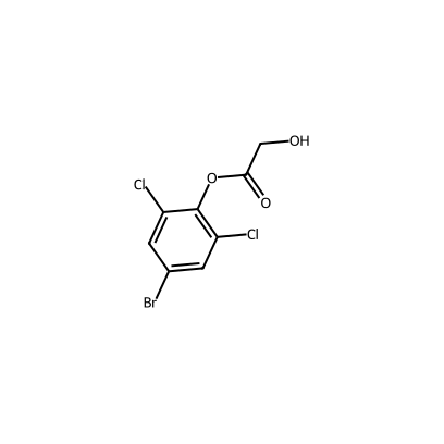 O=C(CO)Oc1c(Cl)cc(Br)cc1Cl